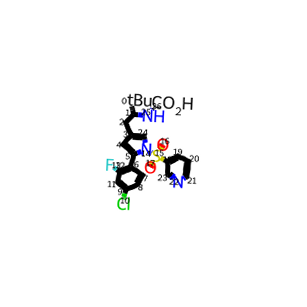 CC(C)(C)C(Cc1cc(-c2ccc(Cl)cc2F)n(S(=O)(=O)c2cccnc2)c1)NC(=O)O